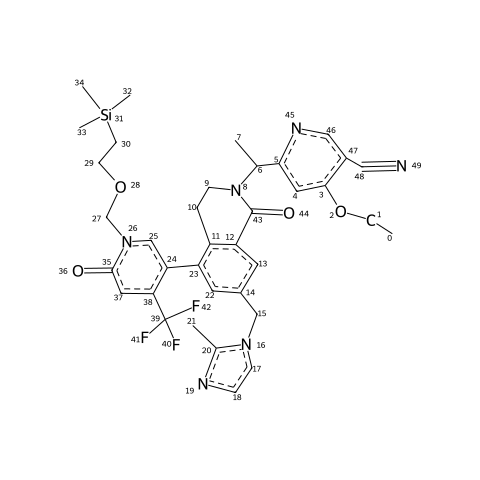 CCOc1cc(C(C)N2CCc3c(cc(Cn4ccnc4C)cc3-c3cn(COCC[Si](C)(C)C)c(=O)cc3C(F)(F)F)C2=O)ncc1C#N